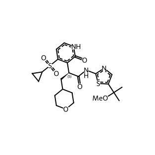 COC(C)(C)c1cnc(NC(=O)[C@@H](CC2CCOCC2)c2c(S(=O)(=O)C3CC3)cc[nH]c2=O)s1